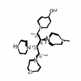 C[C@@H]([C@@H]([C@@H]([C@H](C)N1CCC(O)CC1)N1CCN(C)CC1)N1CCNCC1)N1CCOCC1